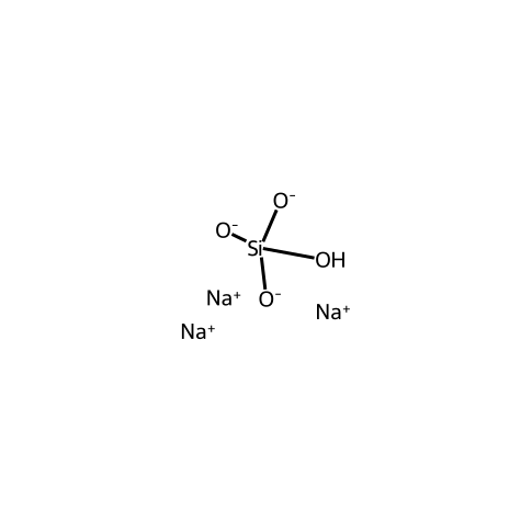 [Na+].[Na+].[Na+].[O-][Si]([O-])([O-])O